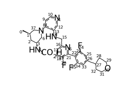 C[C@@H]1C[C@H](NC(=O)O)CN(c2ccncc2NCc2ccc(F)c(-c3c(F)cc(C4CCOCC4)cc3F)n2)C1